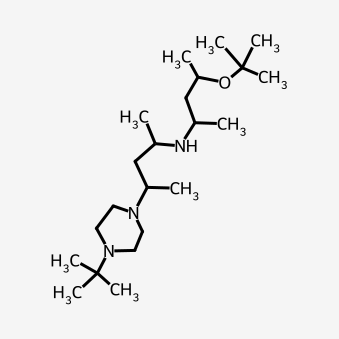 CC(CC(C)OC(C)(C)C)NC(C)CC(C)N1CCN(C(C)(C)C)CC1